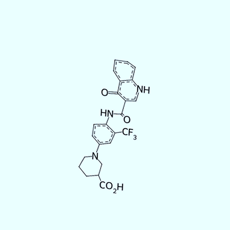 O=C(Nc1ccc(N2CCCC(C(=O)O)C2)cc1C(F)(F)F)c1c[nH]c2ccccc2c1=O